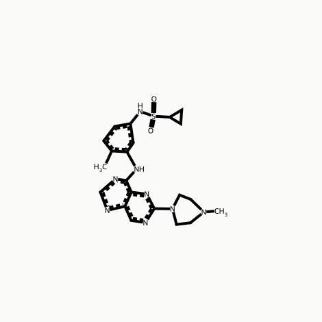 Cc1ccc(NS(=O)(=O)C2CC2)cc1Nc1ncnc2cnc(N3CCN(C)CC3)nc12